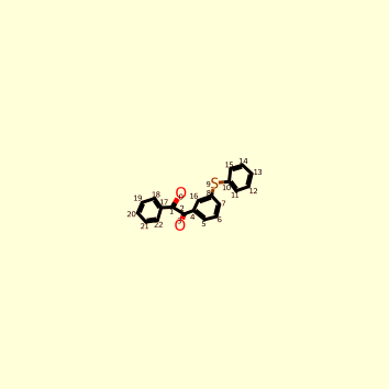 O=C(C(=O)c1cccc(Sc2ccccc2)c1)c1ccccc1